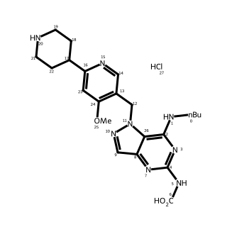 CCCCNc1nc(NC(=O)O)nc2cnn(Cc3cnc(C4CCNCC4)cc3OC)c12.Cl